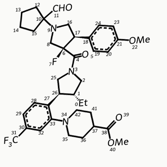 CC[C@H]1CN(C(=O)[C@]2(F)CN(C3(C=O)CCCC3)C[C@H]2c2ccc(OC)cc2)C[C@@H]1c1ccc(C(F)(F)F)cc1N1CCC(C(=O)OC)CC1